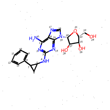 Nc1nc(NC2CC2c2ccccc2)nc2c1ncn2[C@@H]1O[C@H](CO)[C@@H](O)[C@H]1O